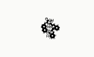 CC(C)N[C@H](Cc1ccccc1)C(=O)NC(Cc1ccccc1)C(=O)N[C@H](Cc1ccc2ccccc2c1)C(=O)O